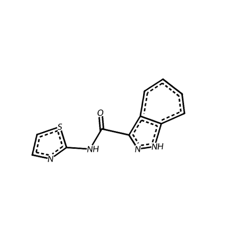 O=C(Nc1nccs1)c1n[nH]c2ccccc12